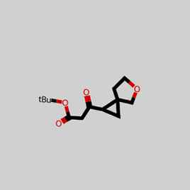 CC(C)(C)OC(=O)CC(=O)C1CC12CCOC2